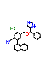 Cl.Cn1cncc1C(OCc1ccc(C#N)c(-c2cccc3ccccc23)c1)c1ccccc1